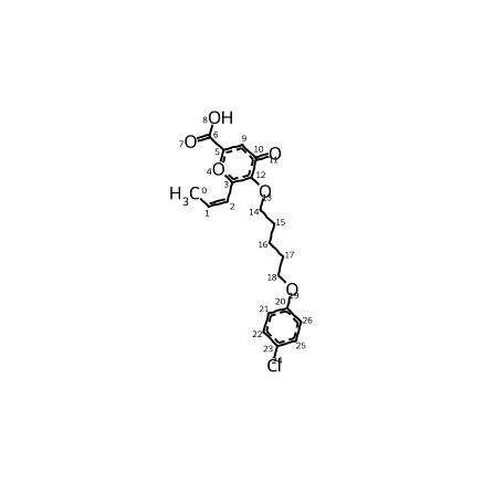 C/C=C\c1oc(C(=O)O)cc(=O)c1OCCCCCOc1ccc(Cl)cc1